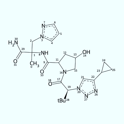 CC(Cn1cccn1)(NC(=O)C1CC(O)CN1C(=O)[C@@H](n1cc(C2CC2)nn1)C(C)(C)C)C(N)=O